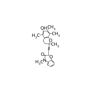 Cc1c(C)c2c(c(C)c1O)CCC(C)(C#CC1Oc3ccccc3N(C)C1=O)O2